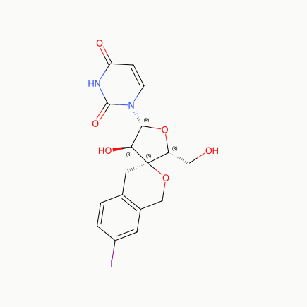 O=c1ccn([C@@H]2O[C@H](CO)[C@]3(Cc4ccc(I)cc4CO3)[C@H]2O)c(=O)[nH]1